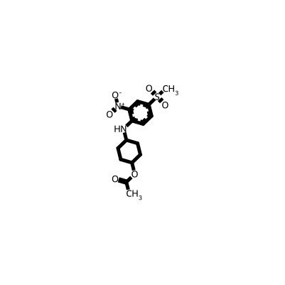 CC(=O)OC1CCC(Nc2ccc(S(C)(=O)=O)cc2[N+](=O)[O-])CC1